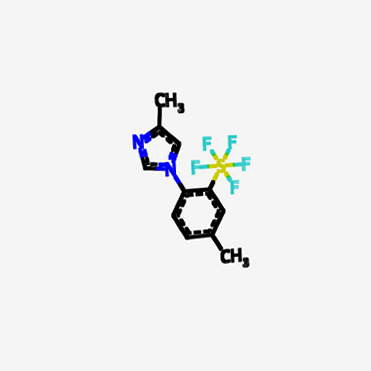 Cc1ccc(-n2cnc(C)c2)c(S(F)(F)(F)(F)F)c1